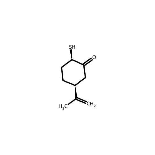 C=C(C)[C@H]1CC[C@@H](S)C(=O)C1